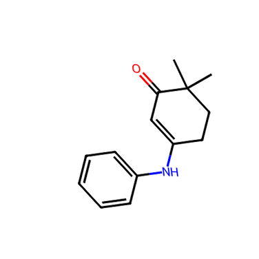 CC1(C)CCC(Nc2ccccc2)=CC1=O